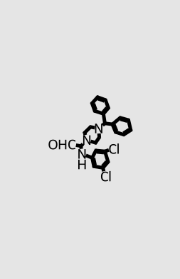 O=CC(Nc1cc(Cl)cc(Cl)c1)N1CCN(C(c2ccccc2)c2ccccc2)CC1